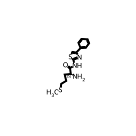 CSCCC[C@H](N)C(=O)Nc1nc(-c2ccccc2)cs1